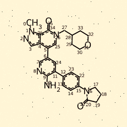 Cn1ncc2c(-c3cnc(N)c(-c4ccc(N5CCCC5=O)cc4)c3)cn(CC3CCOCC3)c(=O)c21